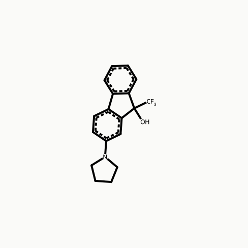 OC1(C(F)(F)F)c2ccccc2-c2ccc(N3CCCC3)cc21